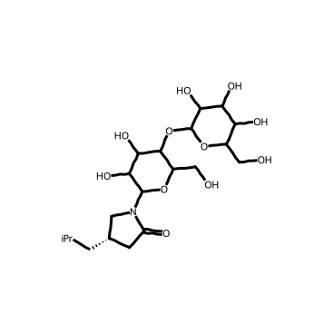 CC(C)C[C@H]1CC(=O)N(C2OC(CO)C(OC3OC(CO)C(O)C(O)C3O)C(O)C2O)C1